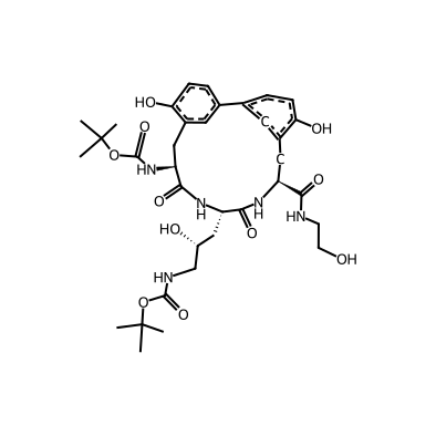 CC(C)(C)OC(=O)NC[C@H](O)C[C@@H]1NC(=O)[C@@H](NC(=O)OC(C)(C)C)Cc2cc(ccc2O)-c2ccc(O)c(c2)C[C@@H](C(=O)NCCO)NC1=O